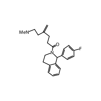 C=C(CCNC)CCC(=O)N1CCc2ccccc2C1c1ccc(F)cc1